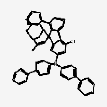 CC1=CC2(c3cc(N(c4ccc(-c5ccccc5)cc4)c4ccc(-c5ccccc5)cc4)cc(Cl)c3-c3cccc(-c4ccccc4)c32)C2CC(C)CC1C2